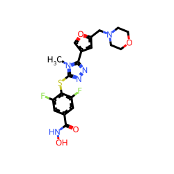 Cn1c(Sc2c(F)cc(C(=O)NO)cc2F)nnc1-c1coc(CN2CCOCC2)c1